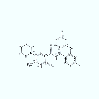 Cc1ccc2c(c1)Oc1cc(C)ccc1C2NC(=O)c1cc(N2CCCCC2)c(C(F)(F)F)[nH]c1=O